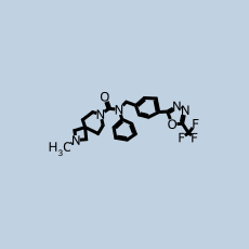 CN1CC2(CCN(C(=O)N(Cc3ccc(-c4nnc(C(F)(F)F)o4)cc3)c3ccccc3)CC2)C1